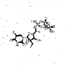 C[C@H](OP(=O)(O)OP(=O)(O)OP(=O)(O)O)[C@H]1O[C@@H](n2cc(F)c(=O)[nH]c2=O)[C@@](O)(CF)C1O